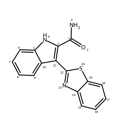 NC(=O)c1[nH]c2ccccc2c1-c1nc2ccccc2s1